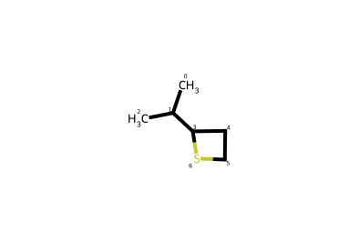 CC(C)C1CCS1